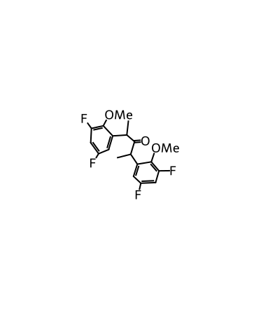 COc1c(F)cc(F)cc1C(C)C(=O)C(C)c1cc(F)cc(F)c1OC